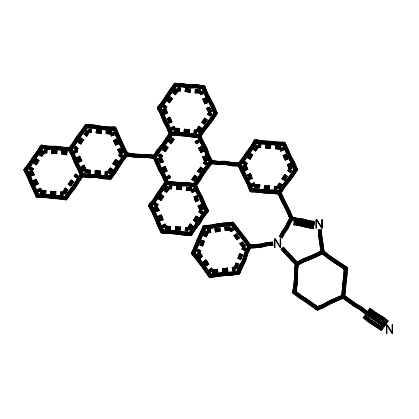 N#CC1CCC2C(C1)N=C(c1cccc(-c3c4ccccc4c(-c4ccc5ccccc5c4)c4ccccc34)c1)N2c1ccccc1